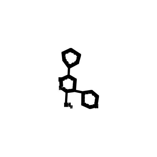 Nc1nnc(-c2ccccc2)cc1-c1ccncc1